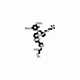 COc1cc(OC)c(F)c(N(Cc2nccn2COCC[Si](C)(C)C)c2ccc3ncc(-c4cnn(CC(O)COC(C)C)c4)nc3n2)c1